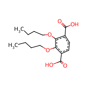 CCCCOc1c(C(=O)O)ccc(C(=O)O)c1OCCCC